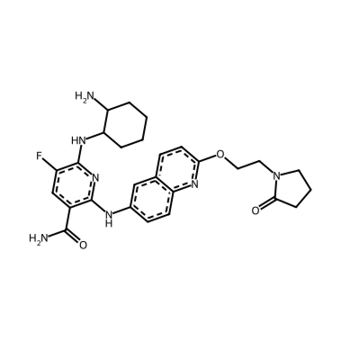 NC(=O)c1cc(F)c(NC2CCCCC2N)nc1Nc1ccc2nc(OCCN3CCCC3=O)ccc2c1